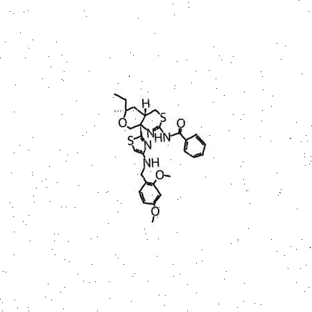 CC[C@@]1(C)C[C@@H]2CSC(NC(=O)c3ccccc3)=N[C@]2(c2nc(NCc3ccc(OC)cc3OC)cs2)CO1